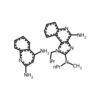 CCCN(C)c1nc2c(N)nc3ccccc3c2n1CC(C)C.Nc1cc(N)c2ccccc2n1